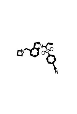 C=CC(n1ccc2c(CN3CCC3)cccc21)S(=O)(=O)c1ccc(C#N)cc1